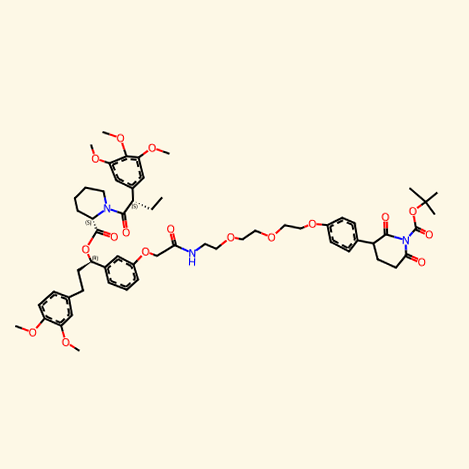 CC[C@H](C(=O)N1CCCC[C@H]1C(=O)O[C@H](CCc1ccc(OC)c(OC)c1)c1cccc(OCC(=O)NCCOCCOCCOc2ccc(C3CCC(=O)N(C(=O)OC(C)(C)C)C3=O)cc2)c1)c1cc(OC)c(OC)c(OC)c1